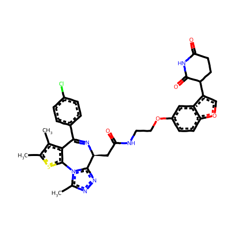 Cc1sc2c(c1C)C(c1ccc(Cl)cc1)=N[C@@H](CC(=O)NCCOc1ccc3occ(C4CCC(=O)NC4=O)c3c1)c1nnc(C)n1-2